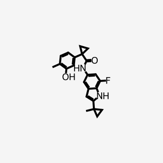 Cc1ccc(C2(C(=O)Nc3cc(F)c4[nH]c(C5(C)CC5)cc4c3)CC2)cc1O